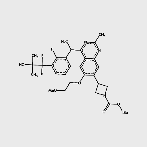 COCCOc1cc2c(C(C)c3cccc(C(F)(F)C(C)(C)O)c3F)nc(C)nc2cc1C1CN(C(=O)OC(C)(C)C)C1